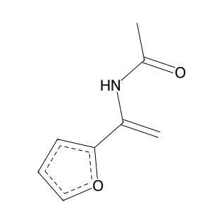 C=C(NC(C)=O)c1ccco1